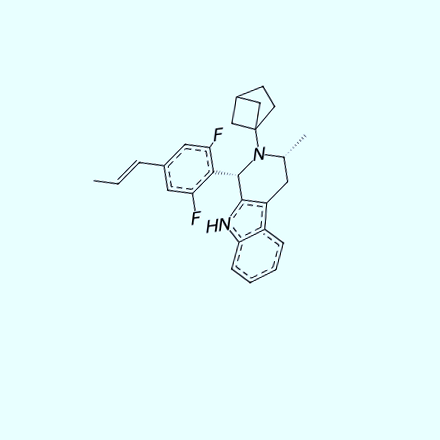 C/C=C/c1cc(F)c([C@H]2c3[nH]c4ccccc4c3C[C@@H](C)N2C23CCC(C2)C3)c(F)c1